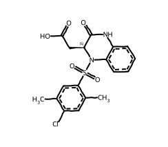 Cc1cc(S(=O)(=O)N2c3ccccc3NC(=O)[C@@H]2CC(=O)O)c(C)cc1Cl